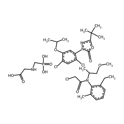 CC(C)Oc1cc(-n2nc(C(C)(C)C)oc2=O)c(Cl)cc1Cl.CCc1cccc(C)c1N(C(=O)CCl)C(C)COC.O=C(O)CNCP(=O)(O)O